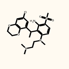 CC(c1cc(Cl)cc2c1OCCO2)c1c(N(C)CCN(C)C)ccc(S(C)(=O)=O)c1N